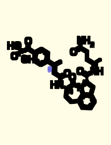 C/C(=C\C(=O)N[C@H]1CCc2cccc3c2N(C1=O)[C@H](C(=O)N[C@H](C)CCC(N)=O)C3)c1ccc(C(=O)P(=O)(O)O)cc1